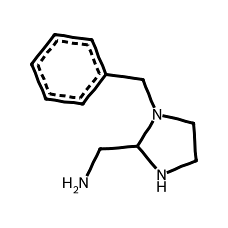 NCC1NCCN1Cc1ccccc1